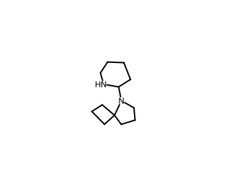 C1CCC(N2CCCC23CCC3)NC1